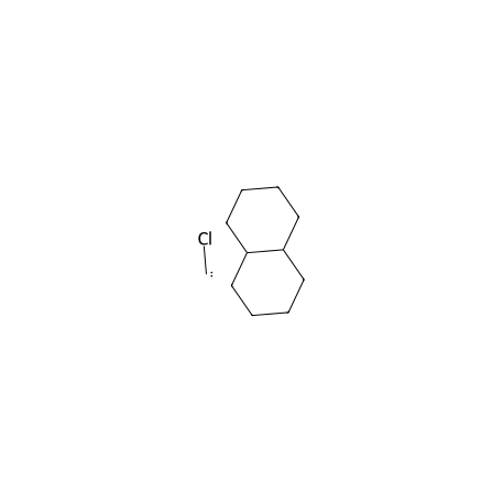 C1CCC2CCCCC2C1.[CH]Cl